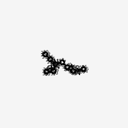 CC1(C)c2cc(-c3cccc(-c4nc(-c5ccc(-c6ccccc6)cc5)nc(-c5cccc6c5oc5ccccc56)n4)c3)ccc2-c2ccc3nc(-c4ccccc4)sc3c21